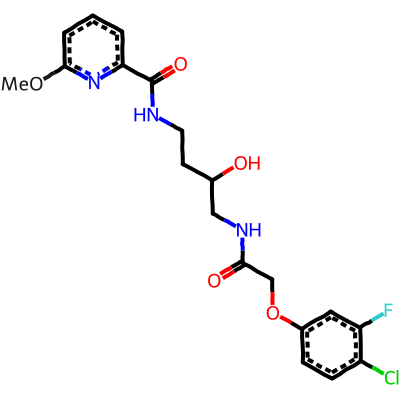 COc1cccc(C(=O)NCCC(O)CNC(=O)COc2ccc(Cl)c(F)c2)n1